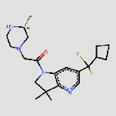 C[C@@H]1CN(CC(=O)N2CC(C)(C)c3ncc(C(F)(F)C4CCC4)cc32)CCN1